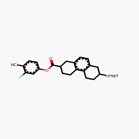 CCCCCCCC1CCc2c(ccc3c2CCC(C(=O)Oc2ccc(C#N)c(F)c2)C3)C1